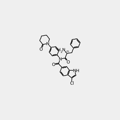 N[C@@H](Cc1ccccc1)C(=O)N(C(=O)c1ccc2c(Cl)c[nH]c2c1)c1ccc(N2CCCCC2=O)cc1